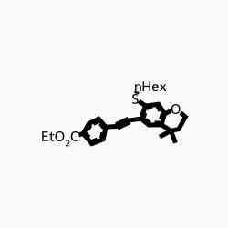 CCCCCCSc1cc2c(cc1C#Cc1ccc(C(=O)OCC)cc1)C(C)(C)CCO2